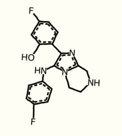 Oc1cc(F)ccc1-c1nc2n(c1Nc1ccc(F)cc1)CCNC2